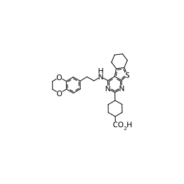 O=C(O)C1CCC(c2nc(NCCc3ccc4c(c3)OCCO4)c3c4c(sc3n2)CCCC4)CC1